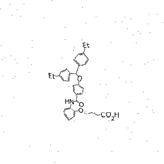 CCc1ccc(C(Oc2ccc(C(=O)Nc3ccccc3OCCCC(=O)O)cc2)c2ccc(CC)cc2)cc1